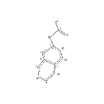 C=C(C)Cc1[c]c2ccccc2cc1